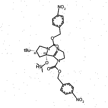 C[SiH](C)O[C@]1(C2=NCCN2C(=O)OCc2ccc([N+](=O)[O-])cc2)C[C@H](C(C)(C)C)CN1C(=O)OCc1ccc([N+](=O)[O-])cc1